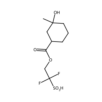 CC1(O)CCCC(C(=O)OCC(F)(F)S(=O)(=O)O)C1